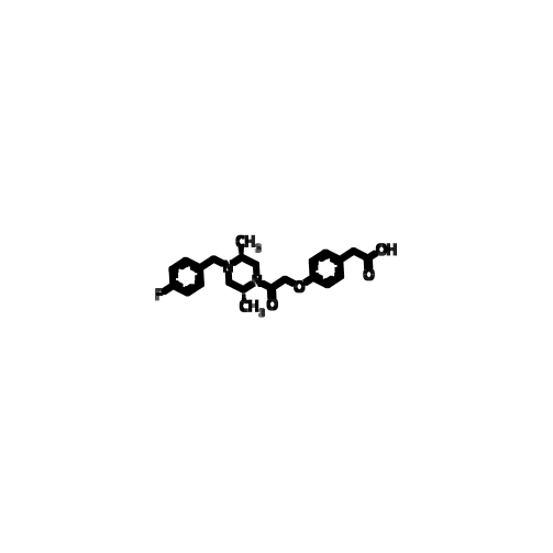 C[C@@H]1CN(Cc2ccc(F)cc2)[C@@H](C)CN1C(=O)COc1ccc(CC(=O)O)cc1